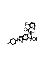 CC1CCC(n2cc3cc(NC(=O)c4ncccc4F)c(C(C)(C)O)cc3n2)CC1